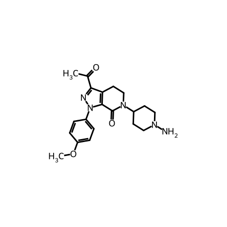 COc1ccc(-n2nc(C(C)=O)c3c2C(=O)N(C2CCN(N)CC2)CC3)cc1